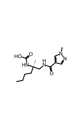 CCCC[C@](C)(CNC(=O)c1cnn(C)c1)NC(=O)O